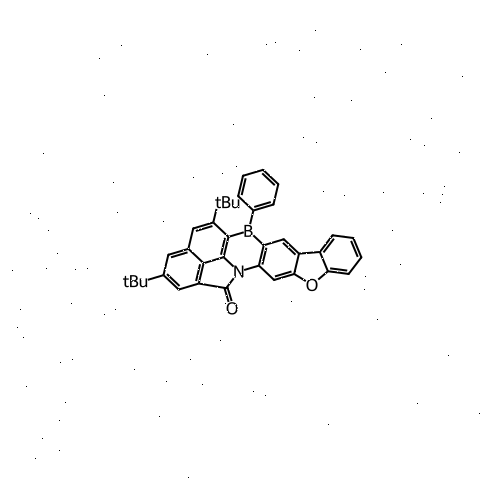 CC(C)(C)c1cc2c3c4c(c(C(C)(C)C)cc3c1)B(c1ccccc1)c1cc3c(cc1N4C2=O)oc1ccccc13